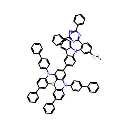 Cc1ccc(-c2nc(-c3ccccc3)nc(-c3ccccc3)n2)c(-n2c3ccccc3c3cc(-c4cc5c6c(c4)N(c4ccc(-c7ccccc7)cc4)c4ccc(-c7ccccc7)cc4B6c4cc(-c6ccccc6)ccc4N5c4ccc(-c5ccccc5)cc4)ccc32)c1